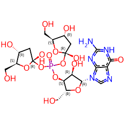 Nc1nc2c(ncn2[C@@H]2O[C@H](CO)[C@@H](OP(=O)(O[C@@]3(O)C[C@@H](O)[C@H](CO)O3)O[C@@]3(O)C[C@@H](O)[C@H](CO)O3)[C@H]2O)c(=O)[nH]1